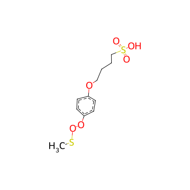 CSOOc1ccc(OCCCCS(=O)(=O)O)cc1